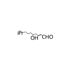 CC(C)CCCC(O)CC=CC=O